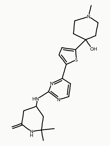 C=C1CC(Nc2nccc(-c3ccc(C4(O)CCN(C)CC4)s3)n2)CC(C)(C)N1